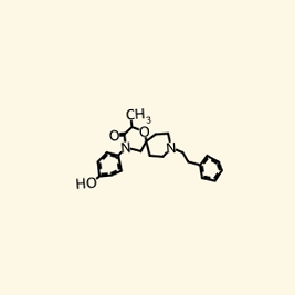 CC1OC2(CCN(CCc3ccccc3)CC2)CN(c2ccc(O)cc2)C1=O